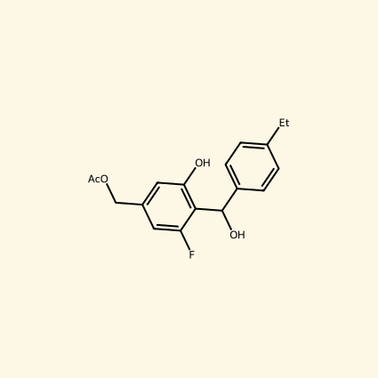 CCc1ccc(C(O)c2c(O)cc(COC(C)=O)cc2F)cc1